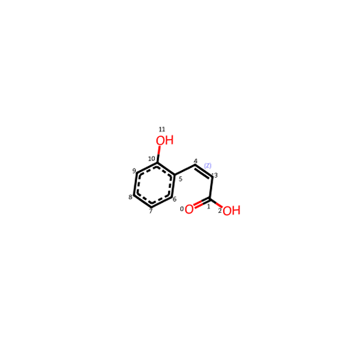 O=C(O)/[C]=C\c1ccccc1O